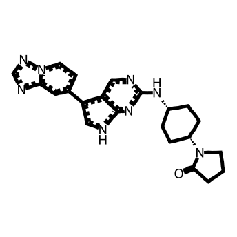 O=C1CCCN1[C@H]1CC[C@@H](Nc2ncc3c(-c4ccn5ncnc5c4)c[nH]c3n2)CC1